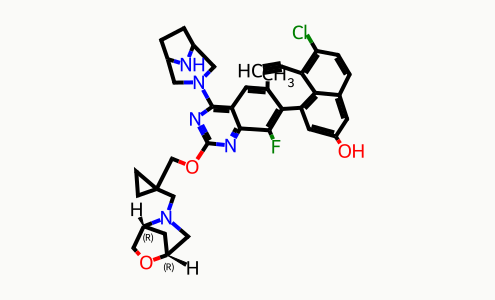 C#Cc1c(Cl)ccc2cc(O)cc(-c3c(C)cc4c(N5CC6CCC(C5)N6)nc(OCC5(CN6C[C@H]7C[C@@H]6CO7)CC5)nc4c3F)c12